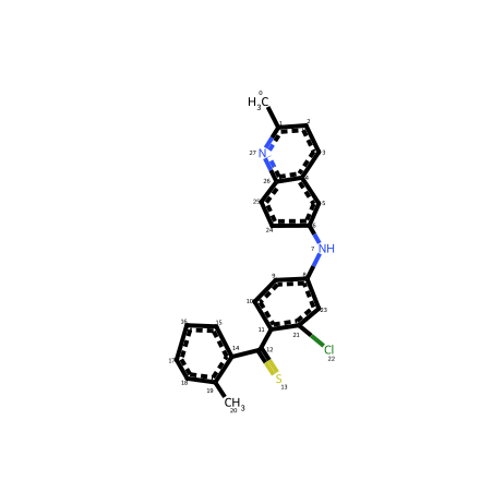 Cc1ccc2cc(Nc3ccc(C(=S)c4ccccc4C)c(Cl)c3)ccc2n1